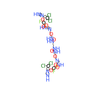 O=C(NCCCCNC(=O)NCCOCCN1CC[C@H](NS(=O)(=O)c2ccc(O[C@H]3c4cc(Cl)cc(Cl)c4C[C@@H]3N3CCNCC3)c(F)c2)C1)NCCOCCN1C=C(NS(=O)(=O)c2ccc(O[C@H]3c4cc(Cl)cc(Cl)c4C[C@@H]3N3CCNCC3)c(F)c2)CC1